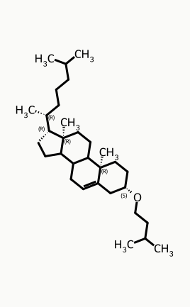 CC(C)CCC[C@@H](C)[C@H]1CCC2C3CC=C4C[C@@H](OCCC(C)C)CC[C@]4(C)C3CC[C@@]21C